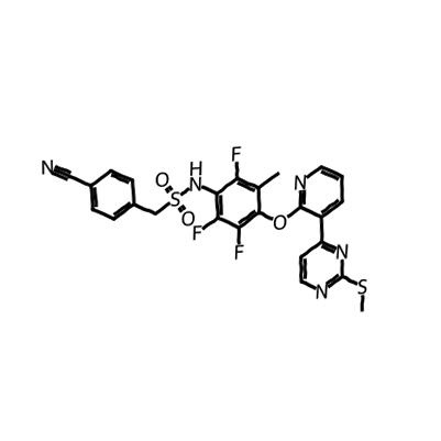 CSc1nccc(-c2cccnc2Oc2c(C)c(F)c(NS(=O)(=O)Cc3ccc(C#N)cc3)c(F)c2F)n1